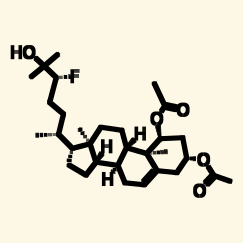 CC(=O)O[C@@H]1CC2=CC[C@H]3[C@@H]4CC[C@H]([C@H](C)CC[C@@H](F)C(C)(C)O)[C@@]4(C)CC[C@@H]3[C@@]2(C)[C@@H](OC(C)=O)C1